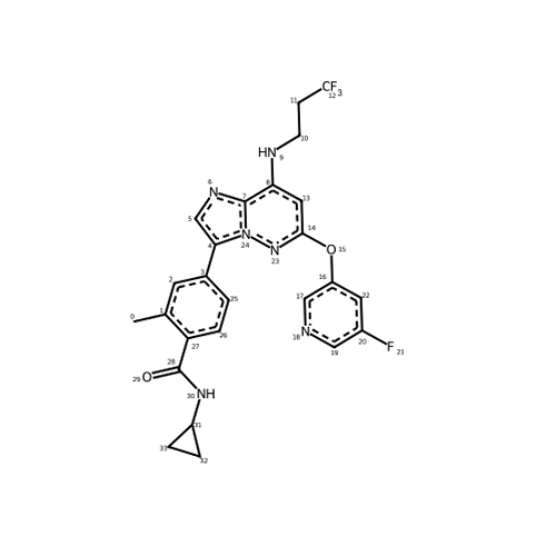 Cc1cc(-c2cnc3c(NCCC(F)(F)F)cc(Oc4cncc(F)c4)nn23)ccc1C(=O)NC1CC1